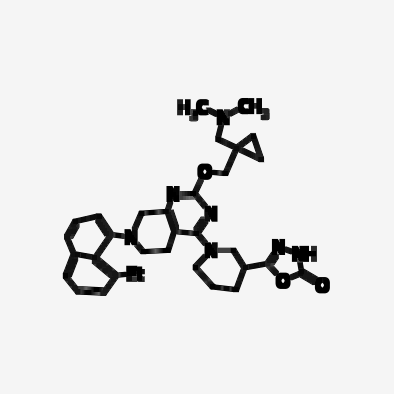 CCc1cccc2cccc(N3CCc4c(nc(OCC5(CN(C)C)CC5)nc4N4CCCC(c5n[nH]c(=O)o5)C4)C3)c12